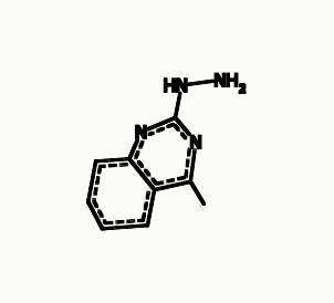 Cc1nc(NN)nc2ccccc12